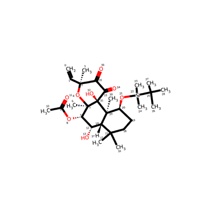 C=C[C@]1(C)O[C@]2(C)[C@@H](OC(C)=O)[C@@H](O)[C@H]3C(C)(C)CC[C@H](O[Si](C)(C)C(C)(C)C)[C@]3(C)[C@@]2(O)C(=O)C1=O